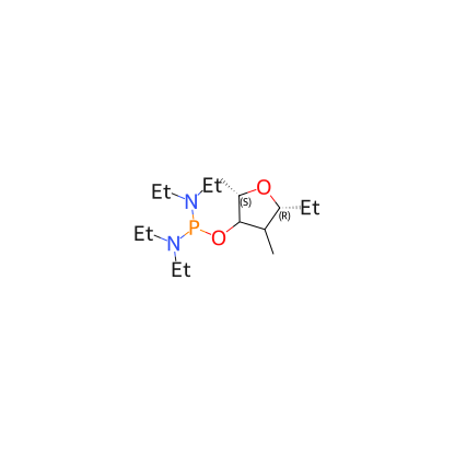 CC[C@H]1O[C@@H](C)C(OP(N(CC)CC)N(CC)CC)C1C